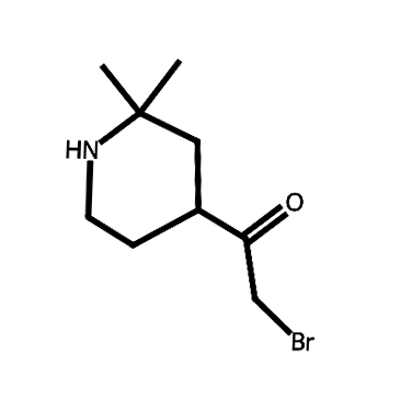 CC1(C)CC(C(=O)CBr)CCN1